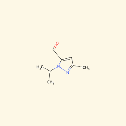 Cc1cc(C=O)n(C(C)C)n1